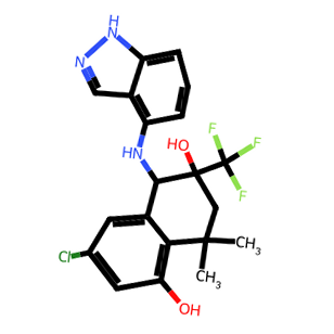 CC1(C)CC(O)(C(F)(F)F)C(Nc2cccc3[nH]ncc23)c2cc(Cl)cc(O)c21